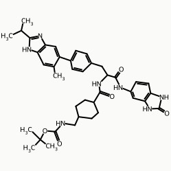 Cc1cc2[nH]c(C(C)C)nc2cc1-c1ccc(CC(NC(=O)C2CCC(CNC(=O)OC(C)(C)C)CC2)C(=O)Nc2ccc3[nH]c(=O)[nH]c3c2)cc1